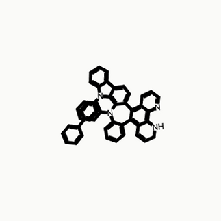 C1=Cc2c3c(c4cccnc4c2NC1)-c1ccc2c4ccccc4n(-c4ccccc4)c2c1N(c1cccc(-c2ccccc2)c1)c1ccccc1-3